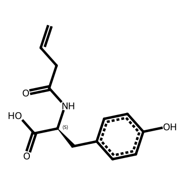 C=CCC(=O)N[C@@H](Cc1ccc(O)cc1)C(=O)O